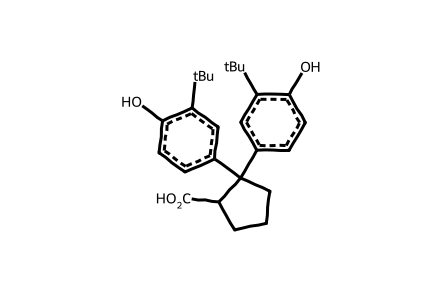 CC(C)(C)c1cc(C2(c3ccc(O)c(C(C)(C)C)c3)CCCC2C(=O)O)ccc1O